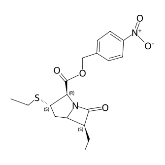 CCS[C@H]1CC2[C@H](CC)C(=O)N2[C@@H]1C(=O)OCc1ccc([N+](=O)[O-])cc1